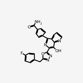 NC(=O)c1ccc(-c2nc(-c3nnc(Cc4ccc(F)cc4)o3)c(O)c3ncccc23)cc1